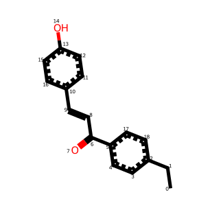 CCc1ccc(C(=O)/C=C/c2ccc(O)cc2)cc1